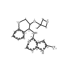 CC1(OC2COc3ccccc3C2Nc2ncnc3[nH]c(C(F)(F)F)cc23)COC1